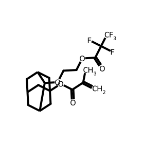 C=C(C)C(=O)OC12CC3CC(C1)C(OCCOC(=O)C(F)(F)C(F)(F)F)C(C3)C2